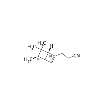 C[C@@H]1C2C=C(CCC#N)[C@H]2C1(C)C